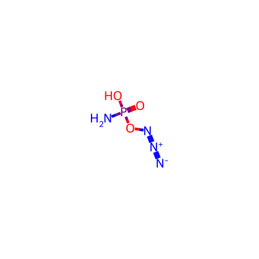 [N-]=[N+]=NOP(N)(=O)O